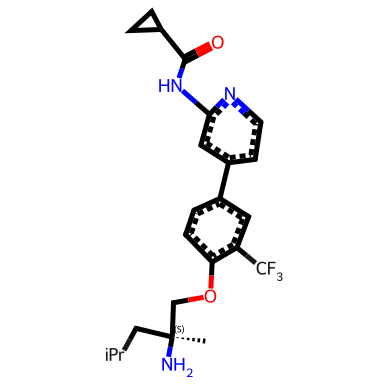 CC(C)C[C@](C)(N)COc1ccc(-c2ccnc(NC(=O)C3CC3)c2)cc1C(F)(F)F